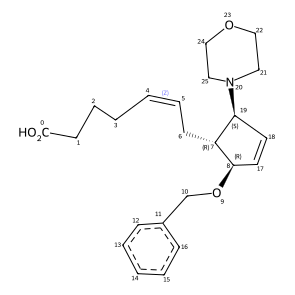 O=C(O)CCC/C=C\C[C@H]1[C@H](OCc2ccccc2)C=C[C@@H]1N1CCOCC1